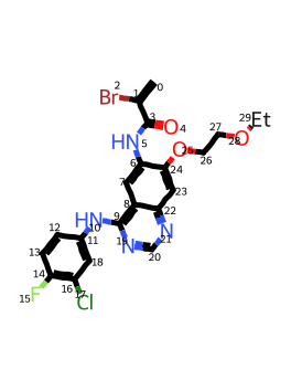 C=C(Br)C(=O)Nc1cc2c(Nc3ccc(F)c(Cl)c3)ncnc2cc1OCCOCC